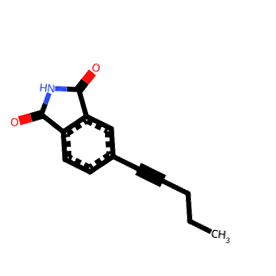 CCCC#Cc1ccc2c(c1)C(=O)NC2=O